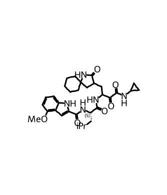 COc1cccc2[nH]c(C(=O)N[C@@H](CC(C)C)C(=O)NC(CC3CC4(CCCCC4)NC3=O)C(=O)C(=O)NC3CC3)cc12